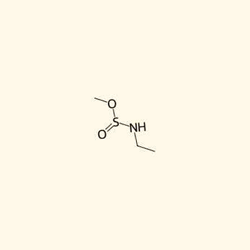 CCNS(=O)OC